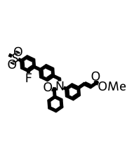 COC(=O)/C=C/c1cccc(N(Cc2ccc(-c3ccc(S(C)(=O)=O)cc3F)cc2)C(=O)C2CCCCC2)c1